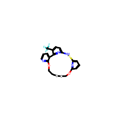 FC(F)(F)c1ccc2nc1-c1cccnc1OCCCCCOc1cccc(n1)SN2